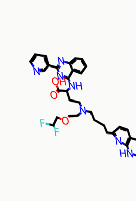 O=C(O)C(CCN(CCCCc1ccc2c(n1)NCCC2)CCOCC(F)F)Nc1nc(-c2cccnc2)nc2ccccc12